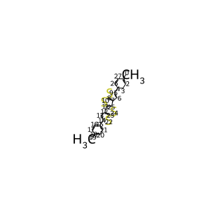 CC1=CCC(c2cc3c(s2)sc2c4cc(-c5ccc(C)cc5)sc4sc32)C=C1